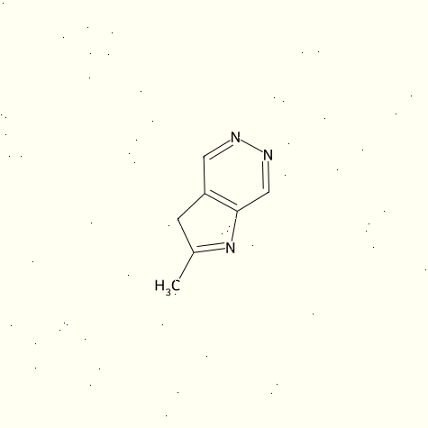 CC1=Nc2cnncc2C1